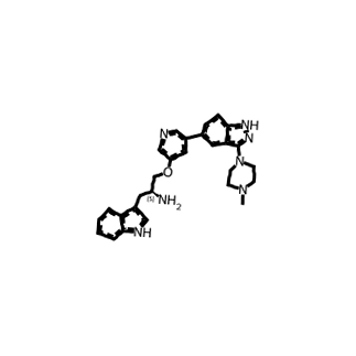 CN1CCN(c2n[nH]c3ccc(-c4cncc(OC[C@@H](N)Cc5c[nH]c6ccccc56)c4)cc23)CC1